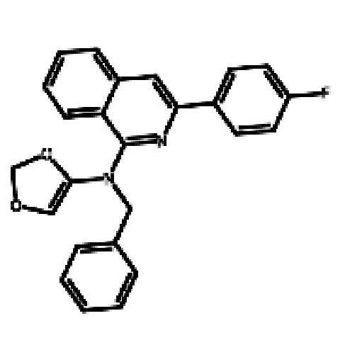 Fc1ccc(-c2cc3ccccc3c(N(Cc3ccccc3)C3=COCO3)n2)cc1